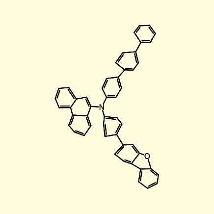 c1ccc(-c2ccc(-c3ccc(N(c4ccc(-c5ccc6c(c5)oc5ccccc56)cc4)c4cc5ccccc5c5ccccc45)cc3)cc2)cc1